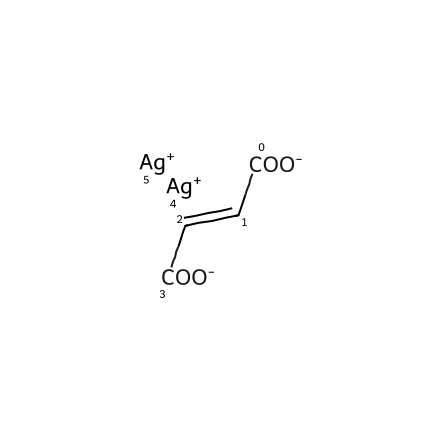 O=C([O-])C=CC(=O)[O-].[Ag+].[Ag+]